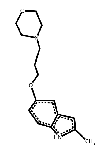 Cc1cc2cc(OCCCN3CCOCC3)ccc2[nH]1